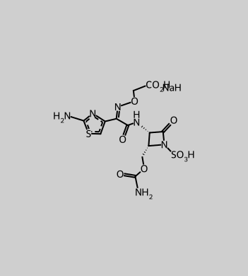 NC(=O)OC[C@@H]1[C@H](NC(=O)C(=NOCC(=O)O)c2csc(N)n2)C(=O)N1S(=O)(=O)O.[NaH]